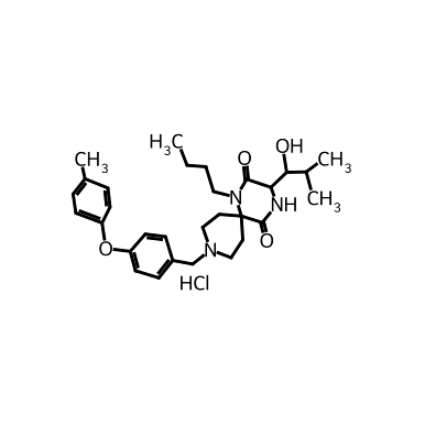 CCCCN1C(=O)C(C(O)C(C)C)NC(=O)C12CCN(Cc1ccc(Oc3ccc(C)cc3)cc1)CC2.Cl